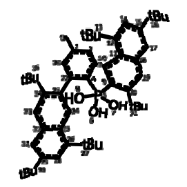 Cc1ccc(P(O)(O)(O)c2cc3c(C(C)(C)C)cc(C(C)(C)C)cc3cc2C(C)(C)C)c(-c2cc3c(C(C)(C)C)cc(C(C)(C)C)cc3cc2C(C)(C)C)c1